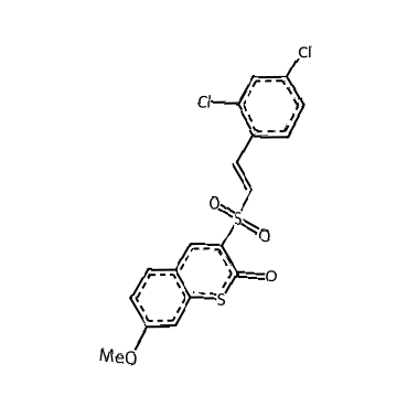 COc1ccc2cc(S(=O)(=O)C=Cc3ccc(Cl)cc3Cl)c(=O)sc2c1